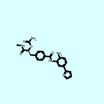 CNC(=O)[C@H](Cc1ccc(C(=O)Nc2cc(-c3cccs3)ccc2N)cc1)OC(N)=O